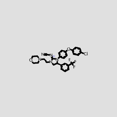 N#C/N=C1\N(CCN2CCOCC2)CC(c2cccc(C(F)(F)F)c2)N1c1ccc(Oc2ccc(Cl)cc2)cc1